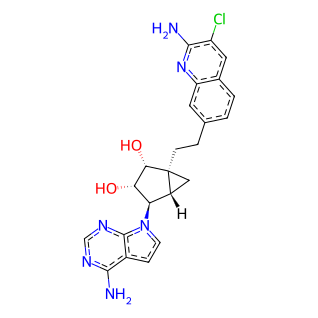 Nc1nc2cc(CC[C@]34C[C@@H]3[C@@H](n3ccc5c(N)ncnc53)[C@H](O)[C@@H]4O)ccc2cc1Cl